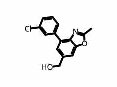 Cc1nc2c(-c3cccc(Cl)c3)cc(CO)cc2o1